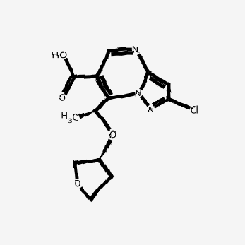 C[C@H](O[C@H]1CCOC1)c1c(C(=O)O)cnc2cc(Cl)nn12